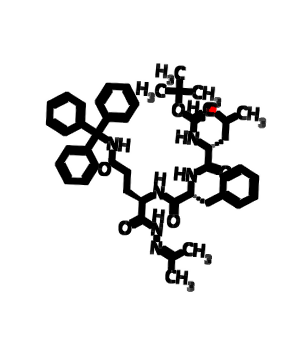 CC(C)=NNC(=O)[C@@H](CCC(=O)NC(c1ccccc1)(c1ccccc1)c1ccccc1)NC(=O)[C@@H](Cc1ccccc1)NC(=O)[C@@H](CC(C)C)NC(=O)OC(C)(C)C